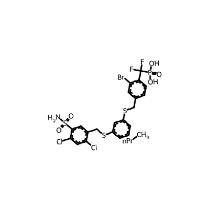 CCCC.NS(=O)(=O)c1cc(CSc2cccc(SCc3ccc(C(F)(F)P(=O)(O)O)c(Br)c3)c2)c(Cl)cc1Cl